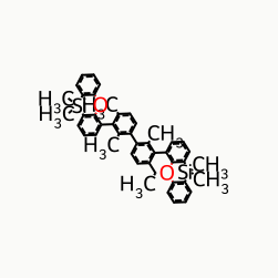 CCc1ccc(-c2ccc(C)c(-c3cccc4c3Oc3ccccc3[Si]4(C)C)c2C)c(C)c1-c1cccc2c1Oc1ccccc1[Si]2(C)C